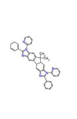 CC1(C)c2cc3c(cc2C2C=c4nc(-c5ccccc5)n(-c5ccccn5)c4=CC21)nc(C1=CCCC=C1)n3-c1ccccn1